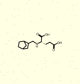 O=C(O)CC[C@H](NCC1CC2CCC1C2)C(=O)O